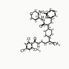 Cc1cc(Cl)nc(Cl)c1C(=O)NCCC(C)N1CCC(N(Cc2cccc(C#N)n2)C(=O)NC2CCOCC2)CC1